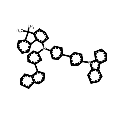 CC1(C)c2ccccc2-c2c(N(c3ccc(-c4ccc(-n5c6ccccc6c6ccccc65)cc4)cc3)c3cccc(-c4cccc5ccccc45)c3)cccc21